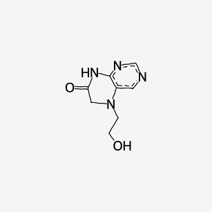 O=C1CN(CCO)c2cncnc2N1